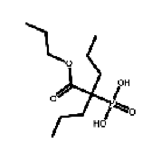 CCCOC(=O)C(CCC)(CCC)P(=O)(O)O